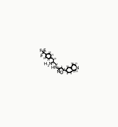 NC(CNc1cc(-c2ccc3cnccc3c2)on1)Cc1ccc(C(F)(F)F)cc1